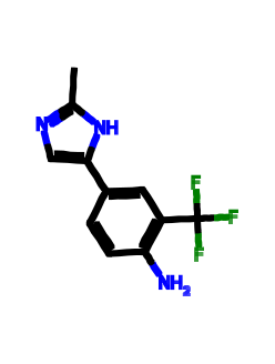 Cc1ncc(-c2ccc(N)c(C(F)(F)F)c2)[nH]1